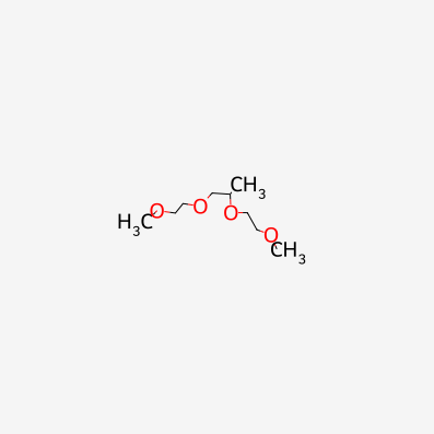 COCCOCC(C)OCCOC